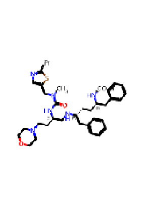 CC(C)c1ncc(CN(C)C(=O)N[C@H](CCN2CCOCC2)CN[C@H](CC[C@H](Cc2ccccc2)NC(=O)O)Cc2ccccc2)s1